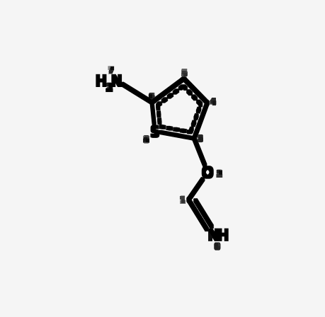 N=COc1ccc(N)s1